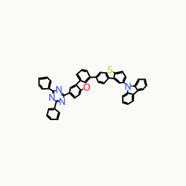 c1ccc(-c2nc(-c3ccccc3)nc(-c3ccc4oc5c(-c6ccc7c(c6)sc6ccc(-n8c9ccccc9c9ccccc98)cc67)cccc5c4c3)n2)cc1